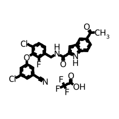 CC(=O)c1ccc2[nH]c(C(=O)NCc3ccc(Cl)c(Oc4cc(Cl)cc(C#N)c4)c3F)cc2c1.O=C(O)C(F)(F)F